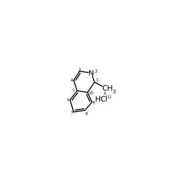 CC1[N]C=Cc2ccccc21.Cl